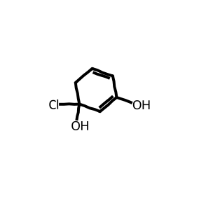 OC1=CC(O)(Cl)CC=C1